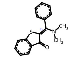 CN(C)/C(=C1/Sc2ccccc2C1=O)c1ccccc1